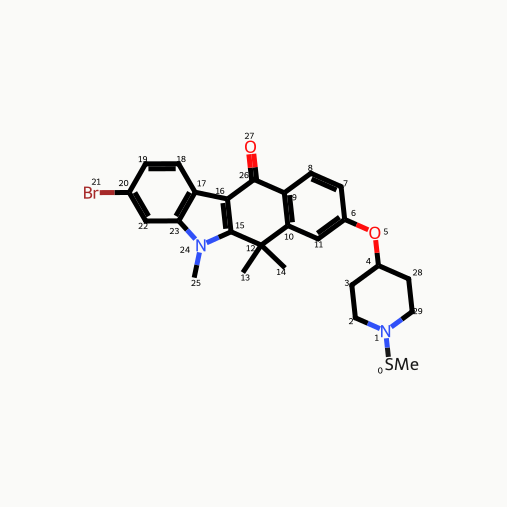 CSN1CCC(Oc2ccc3c(c2)C(C)(C)c2c(c4ccc(Br)cc4n2C)C3=O)CC1